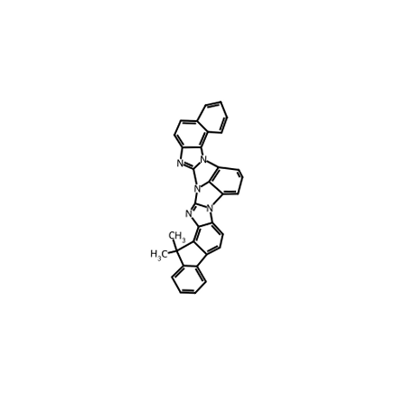 CC1(C)c2ccccc2-c2ccc3c(nc4n3c3cccc5c3n4c3nc4ccc6ccccc6c4n53)c21